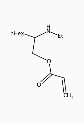 C=CC(=O)OCC(CCCCCC)NCC